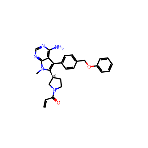 C=CC(=O)N1CC[C@H](c2c(-c3ccc(COc4ccccc4)cc3)c3c(N)ncnc3n2C)C1